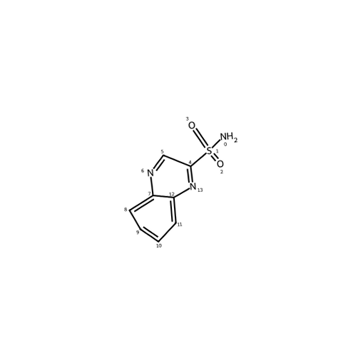 NS(=O)(=O)c1cnc2ccccc2n1